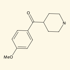 COc1ccc(C(=O)C2CC[N]CC2)cc1